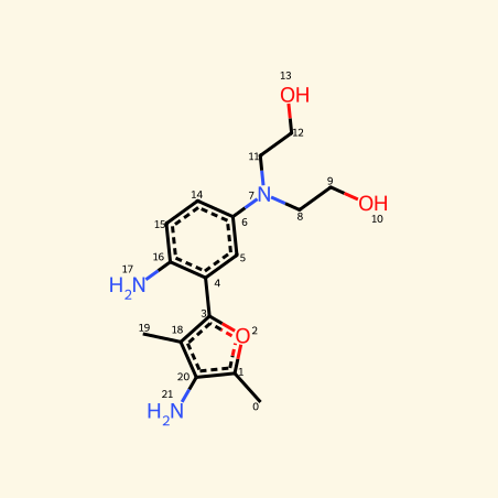 Cc1oc(-c2cc(N(CCO)CCO)ccc2N)c(C)c1N